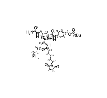 CC(C)(C)C(=O)OCc1ccc(NC(=O)[C@H](CCCNC(N)=O)NC(=O)[C@H](CCCCCN)NC(=O)CCCCCN2C(=O)C=CC2=O)cc1